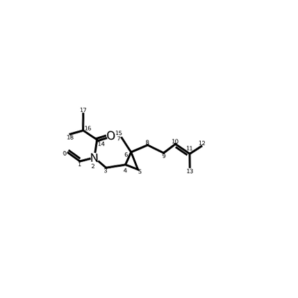 C=CN(CC1CC1(C)CCC=C(C)C)C(=O)C(C)C